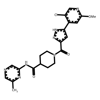 COc1cc(-c2cc(C(=O)N3CCC(C(=O)Nc4cncc(C)n4)CC3)n[nH]2)c(Cl)cn1